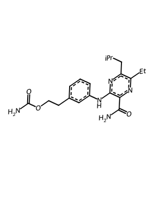 CCc1nc(C(N)=O)c(Nc2cccc(CCOC(N)=O)c2)nc1CC(C)C